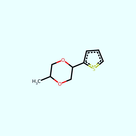 CC1COC(c2cccs2)CO1